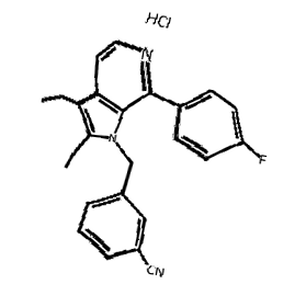 Cc1c(C)n(Cc2cccc(C#N)c2)c2c(-c3ccc(F)cc3)nccc12.Cl